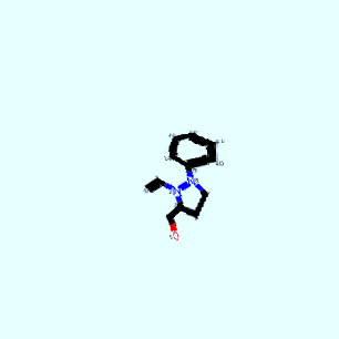 C=CN1C(C=O)CCN1c1ccccc1